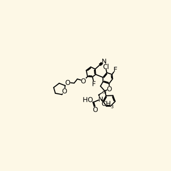 CN(C[C@@]1(c2ccccc2)Cc2c(cc(F)c(Cl)c2-c2c(C#N)ccc(OCCOC3CCCCO3)c2F)O1)C(=O)O